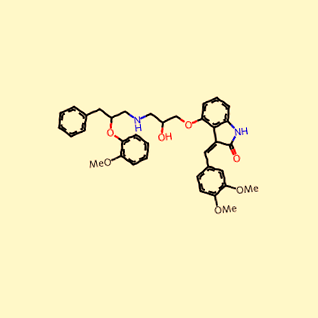 COc1ccc(C=C2C(=O)Nc3cccc(OCC(O)CNCC(Cc4ccccc4)Oc4ccccc4OC)c32)cc1OC